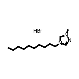 Br.CCCCCCCCCCN1C=NN(C)C1